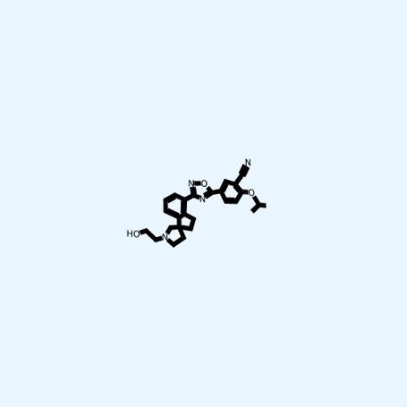 CC(C)Oc1ccc(-c2nc(-c3cccc4c3CCC43CCN(CCO)C3)no2)cc1C#N